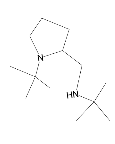 CC(C)(C)NCC1CCCN1C(C)(C)C